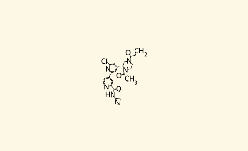 C=CC(=O)N1CCN(C(C)=O)[C@H](c2cc(Cl)nc(-c3ccnc(C(=O)NC45CC(C4)C5)c3)c2)C1